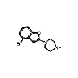 Brc1cccc2oc(N3CCNCC3)cc12